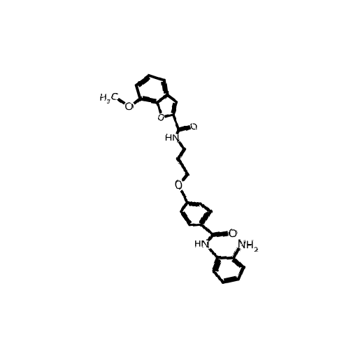 COc1cccc2cc(C(=O)NCCCOc3ccc(C(=O)Nc4ccccc4N)cc3)oc12